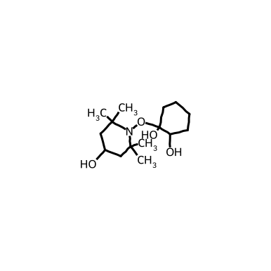 CC1(C)CC(O)CC(C)(C)N1OC1(O)CCCCC1O